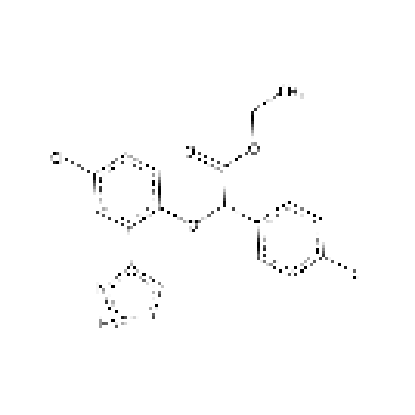 CCOC(=O)C(Oc1ccc(Cl)cc1-c1cc[nH]n1)c1ccc(Cl)cc1